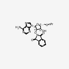 CCCOC[C@H]1O[C@@H](n2cnc3c(N)ncnc32)[C@H](ON2C(=O)c3ccccc3C2=O)[C@@H]1O